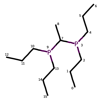 CCCP(CCC)C(C)P(CCC)CCC